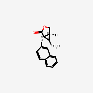 CCOC(=O)C1[C@@H]2COC(=O)[C@]12Cc1ccc2ccccc2c1